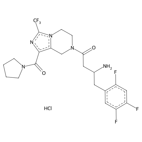 Cl.NC(CC(=O)N1CCn2c(C(F)(F)F)nc(C(=O)N3CCCC3)c2C1)Cc1cc(F)c(F)cc1F